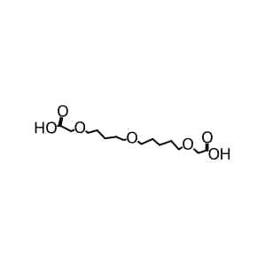 O=C(O)COCCCCCOCCCCCOCC(=O)O